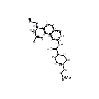 C=C/C=C(/c1ccc2cnc(NC(=O)C3CCN(CCOC)CC3)cc2c1)N(C)C(=C)C